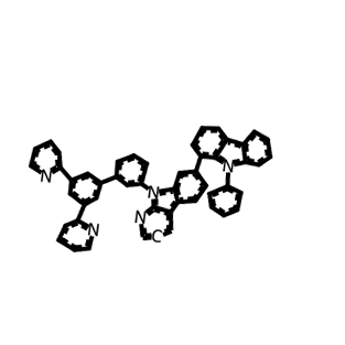 c1ccc(-n2c3ccccc3c3cccc(-c4ccc5c6cccnc6n(-c6cccc(-c7cc(-c8ccccn8)cc(-c8ccccn8)c7)c6)c5c4)c32)cc1